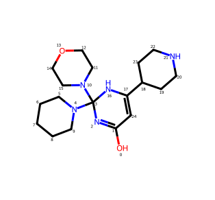 OC1=NC(N2CCCCC2)(N2CCOCC2)NC(C2CCNCC2)=C1